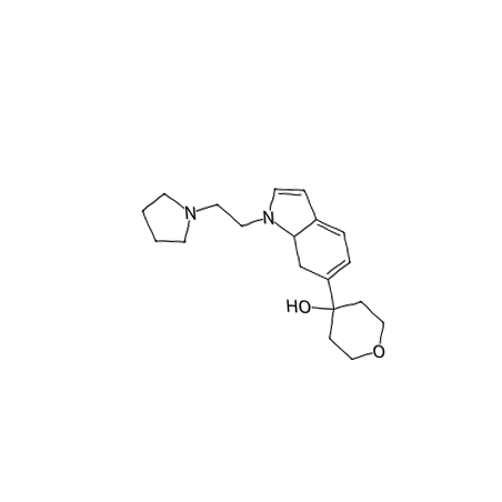 OC1(C2=CC=C3C=CN(CCN4CCCC4)C3C2)CCOCC1